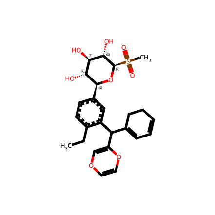 CCc1ccc([C@@H]2O[C@H](S(C)(=O)=O)[C@@H](O)[C@H](O)[C@H]2O)cc1C(C1=CC=CCC1)C1=COC=CO1